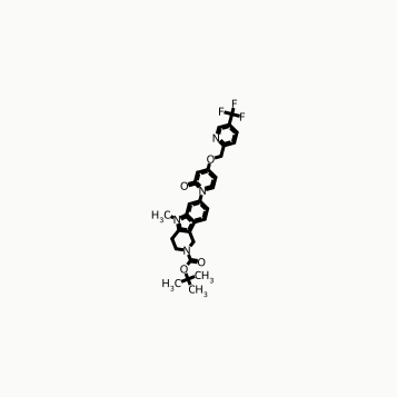 Cn1c2c(c3ccc(-n4ccc(OCc5ccc(C(F)(F)F)cn5)cc4=O)cc31)CN(C(=O)OC(C)(C)C)CC2